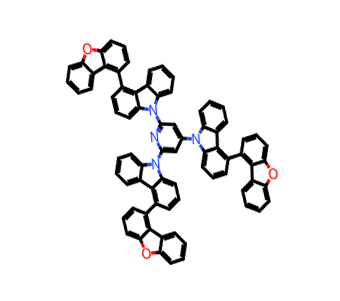 c1ccc2c(c1)oc1cccc(-c3cccc4c3c3ccccc3n4-c3cc(-n4c5ccccc5c5c(-c6cccc7oc8ccccc8c67)cccc54)nc(-n4c5ccccc5c5c(-c6cccc7oc8ccccc8c67)cccc54)c3)c12